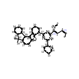 C=N/C(=C\C=C/C)c1nc(-c2ccccn2)nc(-c2cccc3c2oc2ccc4c(c23)-c2ccccc2C4(C)C)n1